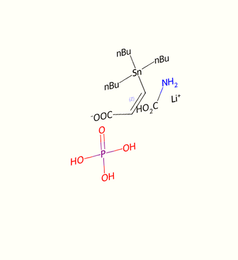 CCC[CH2][Sn](/[CH]=C\C(=O)[O-])([CH2]CCC)[CH2]CCC.NC(=O)O.O=P(O)(O)O.[Li+]